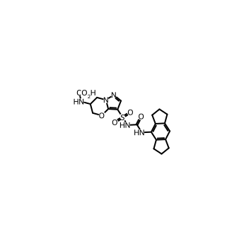 O=C(O)NC1COc2c(S(=O)(=O)NC(=O)Nc3c4c(cc5c3CCC5)CCC4)cnn2C1